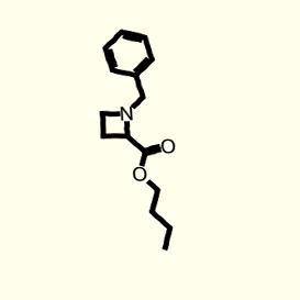 CCCCOC(=O)C1CCN1Cc1ccccc1